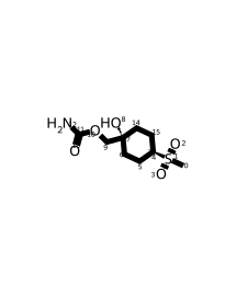 CS(=O)(=O)[C@H]1CC[C@@](O)(COC(N)=O)CC1